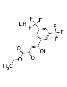 CCOC(=O)C(=O)C=C(O)c1cc(C(F)(F)F)cc(C(F)(F)F)c1.[LiH]